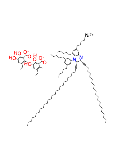 CCCCCCCCCCCCCCCCCCCCC#CC(=Nc1cc(CCCCC)cc(CCCCC)c1)C(C#CCCCCCCCCCCCCCCCCCCCCCCCCC)=Nc1cc(CCCCC)cc(CCCCC)c1.CCc1cc(O)c(O)c(C(=O)[O-])c1C.CCc1cc(O)c(O)c(C(=O)[O-])c1C.[Ni+2]